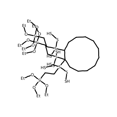 CCO[Si](CCS(S)(SS)C1CCCCCCCCCCC1(S(S)(CC[Si](OCC)(OCC)OCC)SS)S(S)(CC[Si](OCC)(OCC)OCC)SS)(OCC)OCC